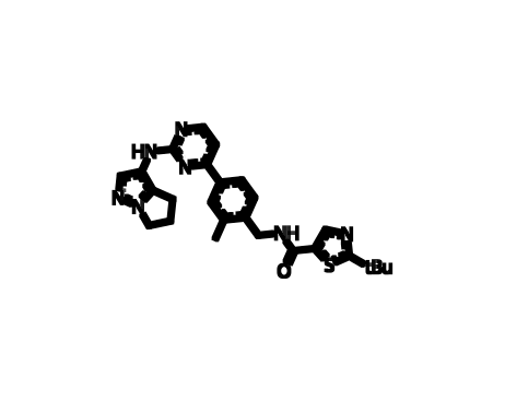 Cc1cc(-c2ccnc(Nc3cnn4c3CCC4)n2)ccc1CNC(=O)c1cnc(C(C)(C)C)s1